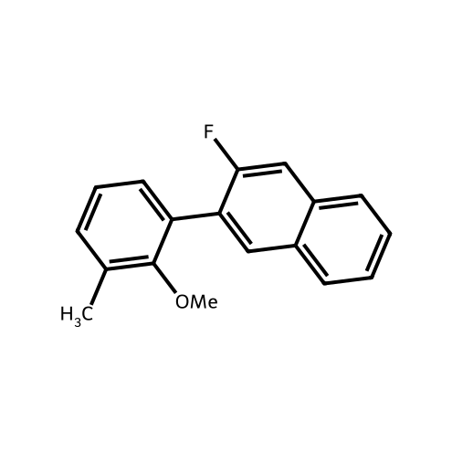 COc1c(C)cccc1-c1cc2ccccc2cc1F